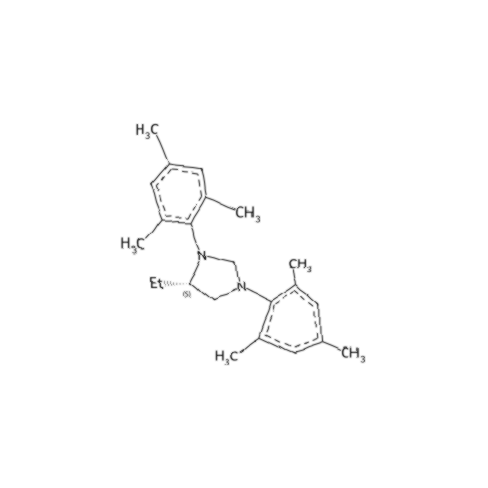 CC[C@H]1CN(c2c(C)cc(C)cc2C)CN1c1c(C)cc(C)cc1C